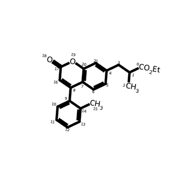 CCOC(=O)C(C)Cc1ccc2c(-c3ccccc3C)cc(=O)oc2c1